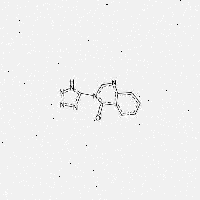 O=c1c2ccccc2ncn1-c1nnn[nH]1